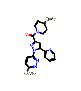 COc1ccc(-n2nc(C(=O)N3CCC(OC)CC3)cc2-c2ccccn2)nn1